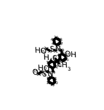 CC(C)(c1ccc(O)c(CN(CSCC=O)c2ccccc2)c1)c1ccc(O)c(CN(CSCCO)c2ccccc2)c1